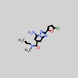 C=CCN(C)C(=O)c1cc(N)n2nc(-c3ccc(Cl)o3)nc2c1